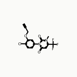 C#CCOc1cc(-n2c(=O)cc(C(F)(F)F)n(C)c2=O)ccc1Cl